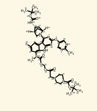 Cc1ncc(Oc2nc(N3C[C@H]4C[C@@H]3C[C@H]4NC(=O)OC(C)(C)C)c3c(n2)[nH]c2c(N(C)C(=O)OCOC(=O)CN4CCN(C(=O)OC(C)(C)C)CC4)cc(F)cc23)cn1